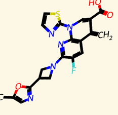 C=C1C(C(=O)O)=CN(c2nccs2)c2nc(N3CC(c4ncc(C)o4)C3)c(F)cc21